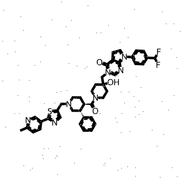 Cc1ccc(-c2ncc(CN3CC[C@@H](C(=O)N4CCC(O)(Cn5cnc6c(ccn6-c6ccc(C(F)F)cc6)c5=O)CC4)[C@H](c4ccccc4)C3)s2)cn1